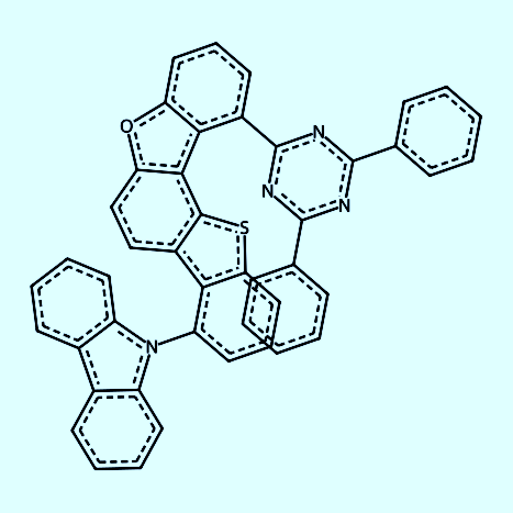 c1ccc(-c2nc(-c3ccccc3)nc(-c3cccc4oc5ccc6c(sc7cccc(-n8c9ccccc9c9ccccc98)c76)c5c34)n2)cc1